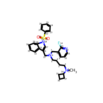 CN(CCCCN(Cc1cccnc1F)Cc1cn(S(=O)(=O)c2ccccc2)c2ccccc12)C1CCC1